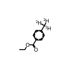 [2H]C([2H])([2H])c1ccc(C(=O)OCC)cc1